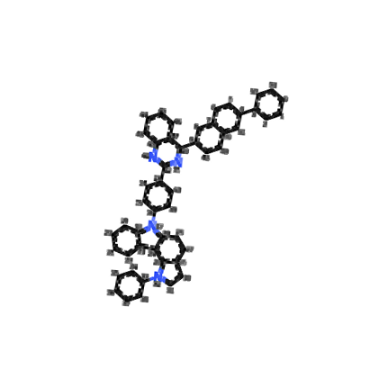 c1ccc(-c2ccc3cc(-c4nc(-c5ccc(-n6c7ccccc7c7c8c(ccc76)ccn8-c6ccccc6)cc5)nc5ccccc45)ccc3c2)cc1